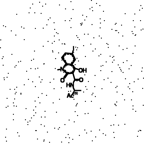 CC(=O)[C@H](C)NC(=O)c1c(O)c2cc(I)ccc2n(C)c1=O